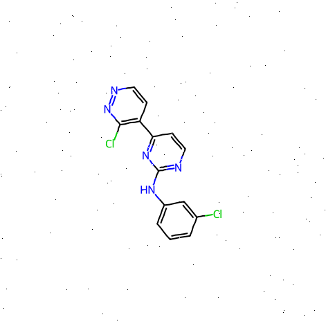 Clc1cccc(Nc2nccc(-c3ccnnc3Cl)n2)c1